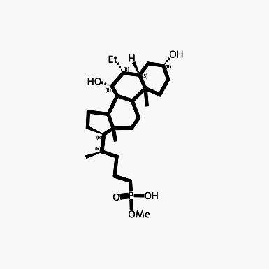 CC[C@H]1[C@@H](O)C2C3CC[C@H]([C@H](C)CCCP(=O)(O)OC)C3(C)CCC2C2(C)CC[C@@H](O)C[C@@H]12